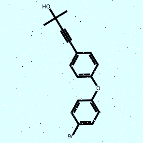 CC(C)(O)C#Cc1ccc(Oc2ccc(Br)cc2)cc1